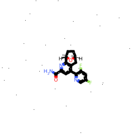 NC(=O)c1cc(-c2ncc(F)cc2F)c2c(n1)[C@@H]1CC[C@@H](C2)O1